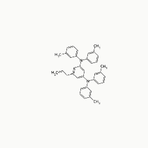 C=CCc1cc(N(c2cccc(C)c2)c2cccc(C)c2)cc(N(c2cccc(C)c2)c2cccc(C)c2)c1